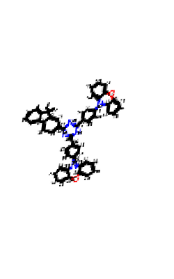 CC1(C)c2ccccc2-c2ccc(-c3nc(-c4ccc(N5c6ccccc6Oc6ccccc65)cc4)nc(-c4ccc(N5c6ccccc6Oc6ccccc65)cc4)n3)cc21